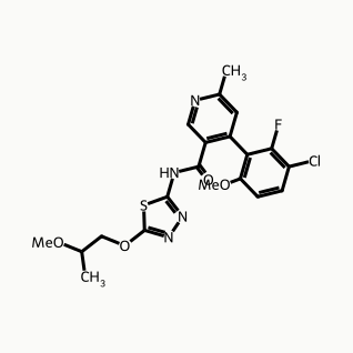 COc1ccc(Cl)c(F)c1-c1cc(C)ncc1C(=O)Nc1nnc(OCC(C)OC)s1